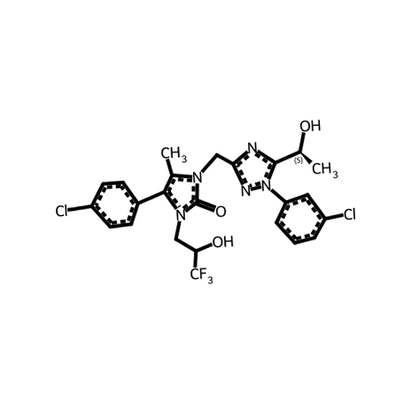 Cc1c(-c2ccc(Cl)cc2)n(CC(O)C(F)(F)F)c(=O)n1Cc1nc([C@H](C)O)n(-c2cccc(Cl)c2)n1